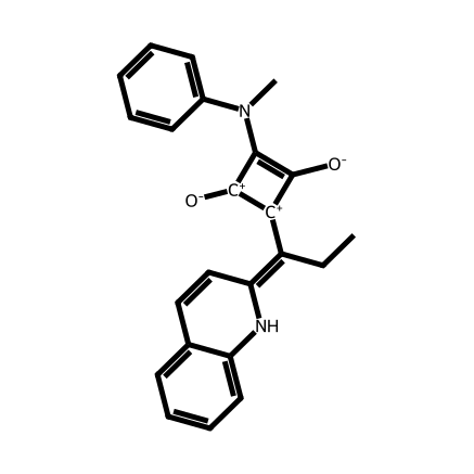 CCC(=C1C=Cc2ccccc2N1)[c+]1c([O-])c(N(C)c2ccccc2)[c+]1[O-]